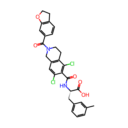 Cc1cccc(C[C@H](NC(=O)c2c(Cl)cc3c(c2Cl)CCN(C(=O)c2ccc4c(c2)OCC4)C3)C(=O)O)c1